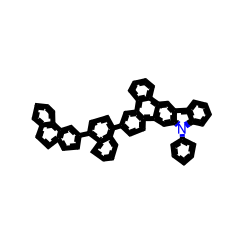 c1ccc(-n2c3ccccc3c3cc4c5ccccc5c5cc(-c6ccc(-c7ccc8ccc9ccccc9c8c7)c7ccccc67)ccc5c4cc32)cc1